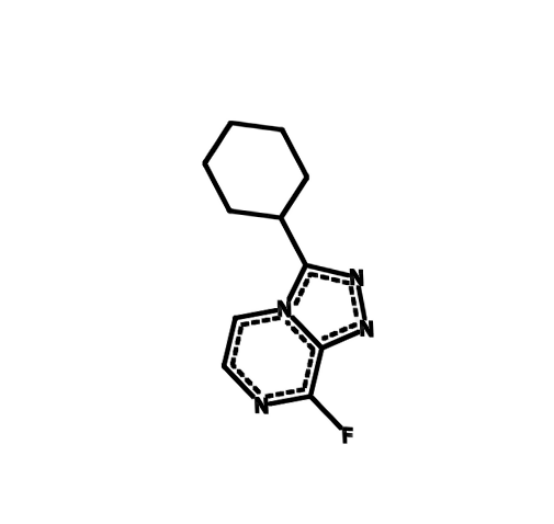 Fc1nccn2c(C3CCCCC3)nnc12